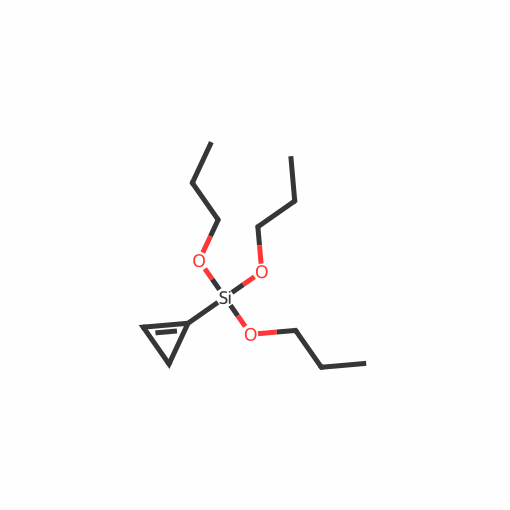 CCCO[Si](OCCC)(OCCC)C1=CC1